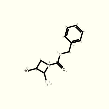 CC1C(O)CN1C(=O)OCc1ccccc1